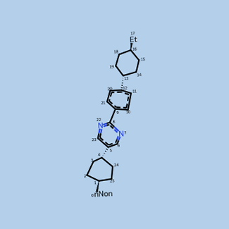 CCCCCCCCC[C@H]1CC[C@H](c2cnc(-c3ccc([C@H]4CC[C@H](CC)CC4)cc3)nc2)CC1